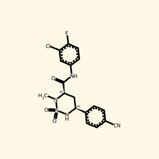 CN1[C@@H](C(=O)Nc2ccc(F)c(Cl)c2)C[C@@H](c2ccc(C#N)cc2)NS1(=O)=O